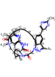 CC(=O)c1nn2c3c(cc(-c4cnc(C)nc4)cc13)CCCCC[C@H](C)C(=O)N(C)C[C@@]13C[C@@H](C(=O)Nc4nc(C(F)(F)F)ccc4C)N(C(=O)C2)[C@@H]1C3